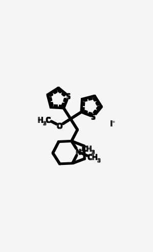 COC(CC12CCCC(CC1)[N+]2(C)C)(c1cccs1)c1cccs1.[I-]